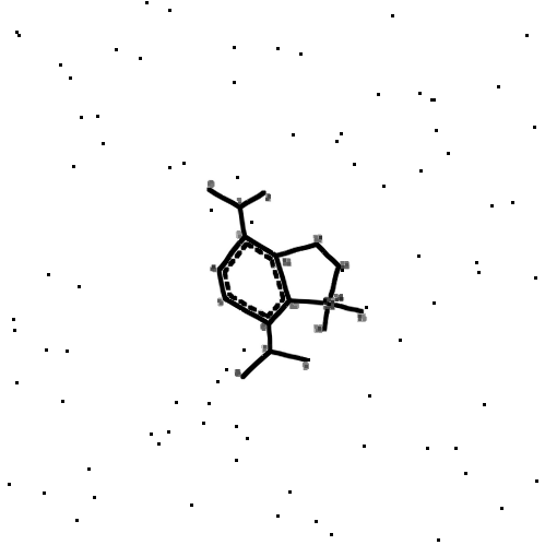 CC(C)c1ccc(C(C)C)c2c1CC[Si]2(C)C